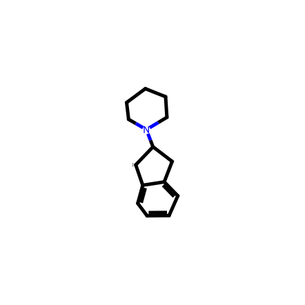 [C]1c2ccccc2CC1N1CCCCC1